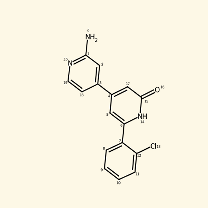 Nc1cc(-c2cc(-c3ccccc3Cl)[nH]c(=O)c2)ccn1